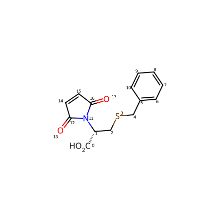 O=C(O)[C@@H](CSCc1ccccc1)N1C(=O)C=CC1=O